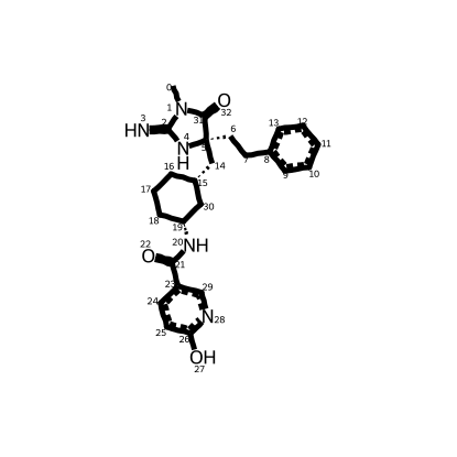 CN1C(=N)N[C@](CCc2ccccc2)(C[C@H]2CCC[C@@H](NC(=O)c3ccc(O)nc3)C2)C1=O